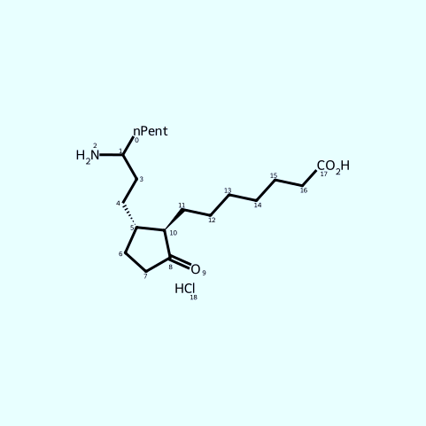 CCCCCC(N)CC[C@H]1CCC(=O)[C@@H]1CCCCCCC(=O)O.Cl